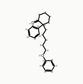 O=C1CCCCC1(CCCCCOc1ccccc1)c1ccccc1